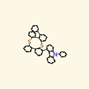 c1ccc(-c2cccc3c2-c2ccccc2Sc2ccccc2-c2cccc(-c4cccc5c4c4ccccc4n5-c4ccccc4)c2S3)cc1